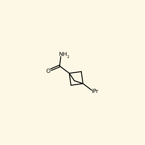 CC(C)C12CC(C(N)=O)(C1)C2